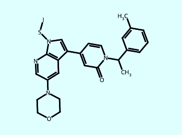 Cc1cccc(C(C)n2ccc(-c3cn(SI)c4ncc(N5CCOCC5)cc34)cc2=O)c1